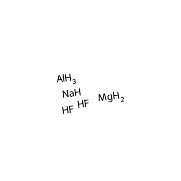 F.F.[AlH3].[MgH2].[NaH]